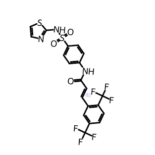 O=C(/C=C/c1cc(C(F)(F)F)ccc1C(F)(F)F)Nc1ccc(S(=O)(=O)Nc2nccs2)cc1